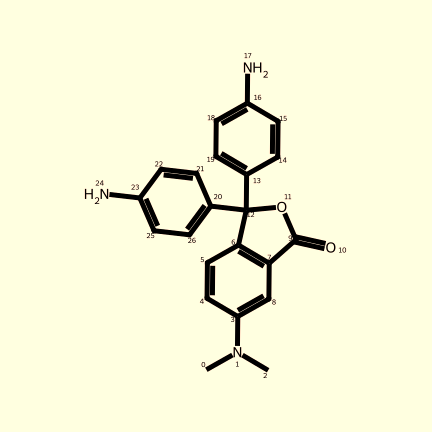 CN(C)c1ccc2c(c1)C(=O)OC2(c1ccc(N)cc1)c1ccc(N)cc1